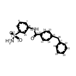 NS(=O)(=O)c1cccc(NC(=O)c2ccc(Cc3ccccc3)cc2)c1